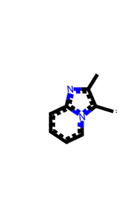 [CH]c1c(C)nc2ccccn12